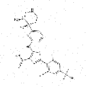 CC(C)(O)c1cc(F)c(-c2cc(C(N)=O)c(Nc3cccc([C@@]4(O)CCNC[C@@H]4O)n3)s2)c(F)c1